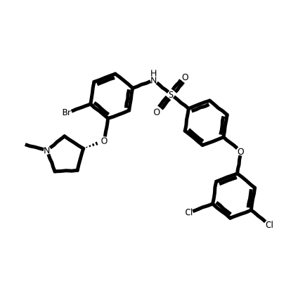 CN1CC[C@@H](Oc2cc(NS(=O)(=O)c3ccc(Oc4cc(Cl)cc(Cl)c4)cc3)ccc2Br)C1